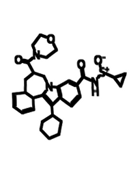 O=C(N[S+]([O-])C1CC1)c1ccc2c(C3CCCCC3)c3n(c2c1)CC(C(=O)N1CCOCC1)CC1C=CC=CC31